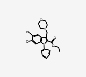 CCOC(=O)c1c(CN2CCOCC2)c2cc(Br)c(Cl)cc2n1-c1ccccc1